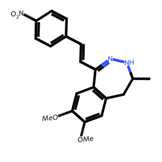 COc1cc2c(cc1OC)C(/C=C/c1ccc([N+](=O)[O-])cc1)=NNC(C)C2